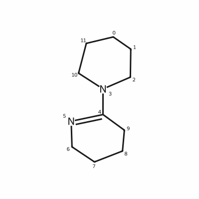 C1CCN(C2=NCCCC2)CC1